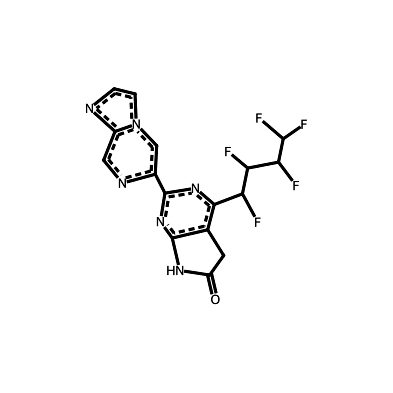 O=C1Cc2c(nc(-c3cn4ccnc4cn3)nc2C(F)C(F)C(F)C(F)F)N1